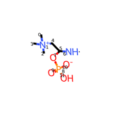 C[N+](C)(C)CC([NH])OP(=O)([O-])O